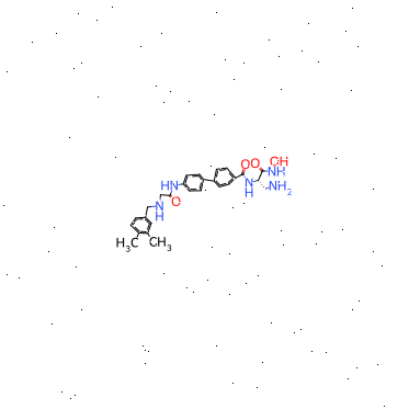 Cc1ccc(CNCC(=O)Nc2ccc(-c3ccc(C(=O)N[C@@H](CN)C(=O)NO)cc3)cc2)cc1C